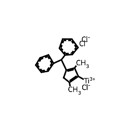 CC1=[C]([Ti+3])C(C)=C(C(c2ccccc2)c2ccccc2)C1.[Cl-].[Cl-].[Cl-]